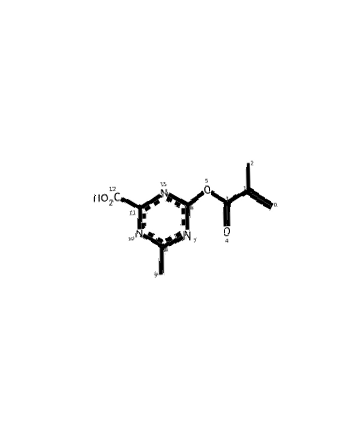 C=C(C)C(=O)Oc1nc(C)nc(C(=O)O)n1